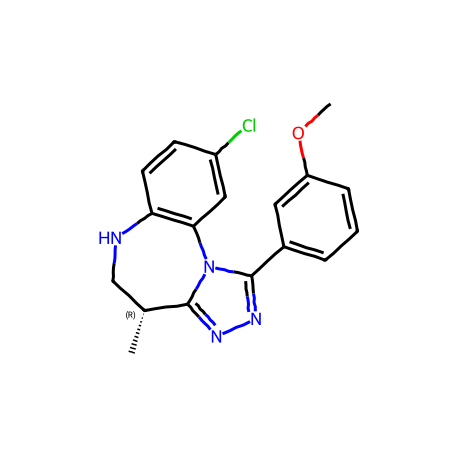 COc1cccc(-c2nnc3n2-c2cc(Cl)ccc2NC[C@H]3C)c1